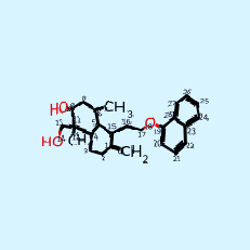 C=C1CCC2C(C(C)CC(O)C2(C)CO)C1CCOc1cccc2ccccc12